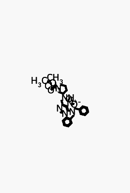 CC(C)(C)OC(=O)N1CCC[C@@H](NCc2ncnc(N(Cc3ccccc3)Cc3ccccc3)c2[N+](=O)[O-])C1